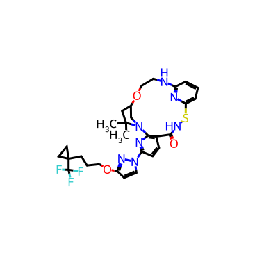 CC1(C)CC2CN1c1nc(-n3ccc(OCCCC4(C(F)(F)F)CC4)n3)ccc1C(=O)NSc1cccc(n1)NCCO2